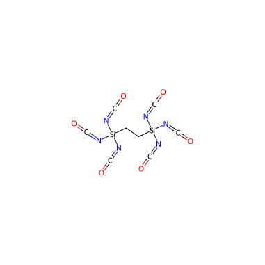 O=C=N[Si](CC[Si](N=C=O)(N=C=O)N=C=O)(N=C=O)N=C=O